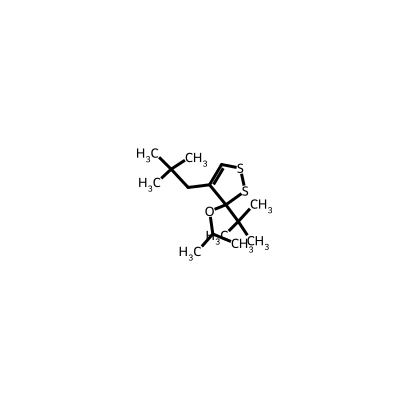 CC(C)OC1(C(C)(C)C)SSC=C1CC(C)(C)C